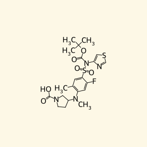 Cc1cc(S(=O)(=O)N(C(=O)OC(C)(C)C)c2cscn2)c(F)cc1N(C)C1CCN(C(=O)O)C1